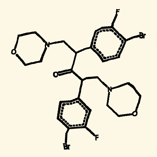 O=C(C(CN1CCOCC1)c1ccc(Br)c(F)c1)C(CN1CCOCC1)c1ccc(Br)c(F)c1